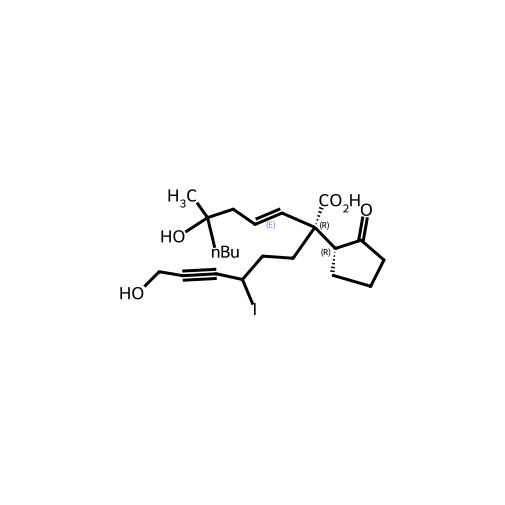 CCCCC(C)(O)C/C=C/[C@@](CCC(I)C#CCO)(C(=O)O)[C@H]1CCCC1=O